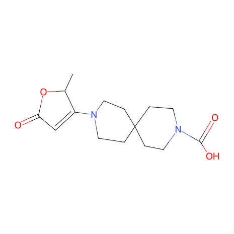 CC1OC(=O)C=C1N1CCC2(CCN(C(=O)O)CC2)CC1